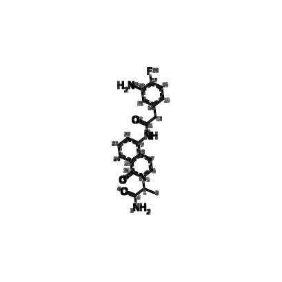 CC(C(N)=O)n1ccc2c(NC(=O)Cc3ccc(F)c(N)c3)cccc2c1=O